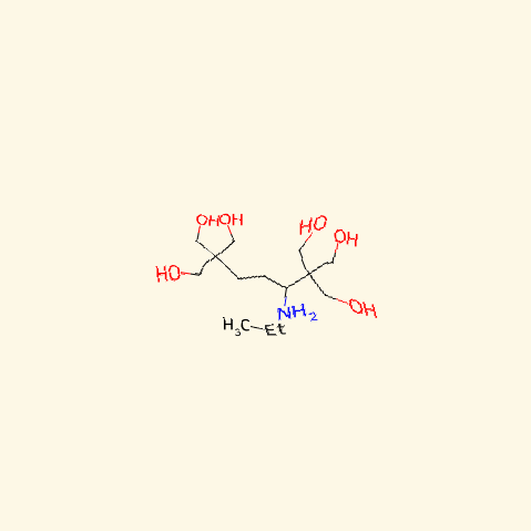 CCC.NC(CCC(CO)(CO)CO)C(CO)(CO)CO